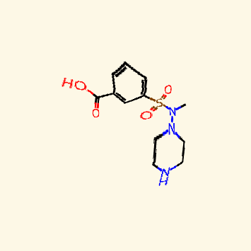 CN(N1CCNCC1)S(=O)(=O)c1cccc(C(=O)O)c1